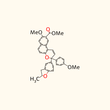 COC(=O)c1cc2c3c(ccc2cc1OC)OC(c1ccc(OC)cc1)(c1ccc2c(c1)CC(C)O2)C=C3